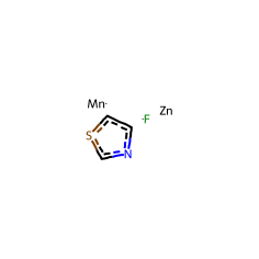 [F].[Mn].[Zn].c1cscn1